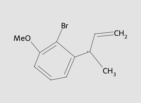 C=C[C](C)c1cccc(OC)c1Br